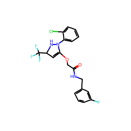 O=C(COC1=CC(C(F)(F)F)NN1c1ccccc1Cl)NCc1cccc(F)c1